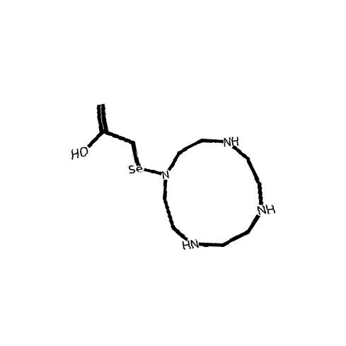 C=C(O)C[Se]N1CCNCCNCCNCC1